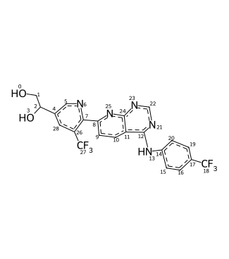 OCC(O)c1cnc(-c2ccc3c(Nc4ccc(C(F)(F)F)cc4)ncnc3n2)c(C(F)(F)F)c1